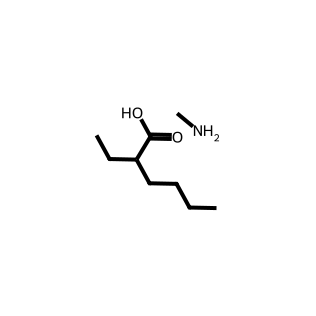 CCCCC(CC)C(=O)O.CN